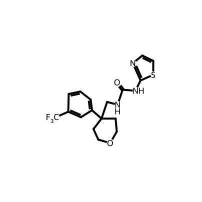 O=C(NCC1(c2cccc(C(F)(F)F)c2)CCOCC1)Nc1nccs1